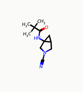 CC(C)(C)C(=O)NC12CC1CN(C#N)C2